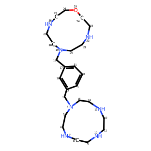 c1cc(CN2CCNCCNCCNCC2)cc(CN2CCNCCOCCNCC2)c1